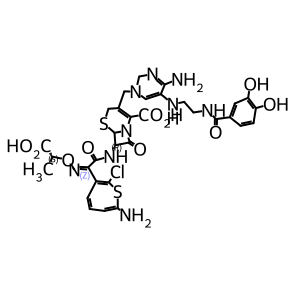 C[C@H](O/N=C(\C(=O)N[C@@H]1C(=O)N2C(C(=O)O)=C(CN3C=C(NCCNC(=O)c4ccc(O)c(O)c4)C(N)=NC3)CSC12)C1=C(Cl)SC(N)=CC=C1)C(=O)O